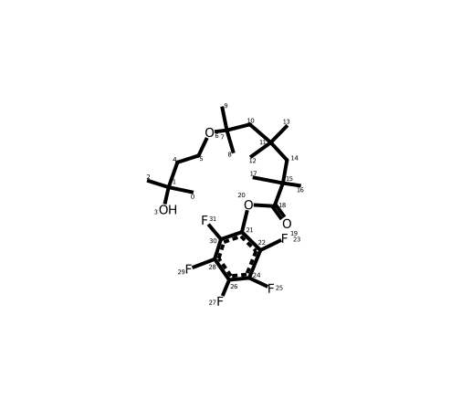 CC(C)(O)CCOC(C)(C)CC(C)(C)CC(C)(C)C(=O)Oc1c(F)c(F)c(F)c(F)c1F